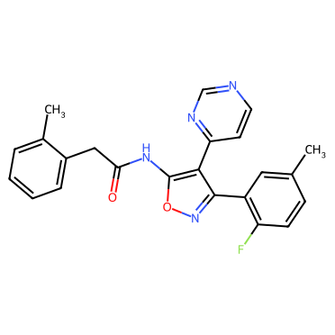 Cc1ccc(F)c(-c2noc(NC(=O)Cc3ccccc3C)c2-c2ccncn2)c1